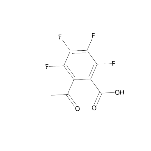 CC(=O)c1c(F)c(F)c(F)c(F)c1C(=O)O